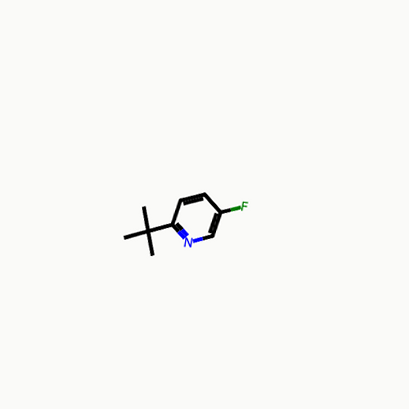 CC(C)(C)c1ccc(F)cn1